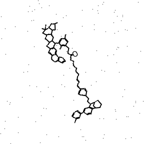 Cc1cccc(-c2ccc3c(c2)C(CCc2ccc(CCCCCCCCCC(=O)CCc4cc(C)cc(C5c6cc7c(cc6CC6CC8CC(C)(C)C9CC(C)CC9C8CC65)CCC5=C7CC=C5)c4C)cc2)C2CCCC3C2)c1